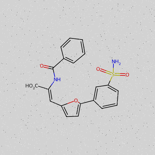 NS(=O)(=O)c1cccc(-c2ccc(C=C(NC(=O)c3ccccc3)C(=O)O)o2)c1